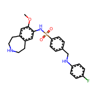 COc1cc2c(cc1NS(=O)(=O)c1ccc(CNc3ccc(F)cc3)cc1)CCNCC2